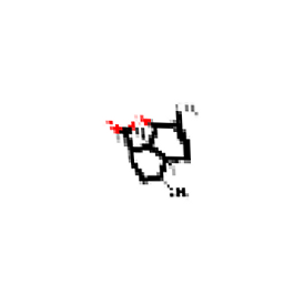 CC1=CC[C@@H]2[C@H]3[C@@H](CC[C@H]2C)C(=O)O[C@@H]13